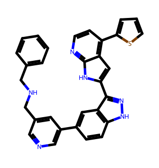 c1ccc(CNCc2cncc(-c3ccc4[nH]nc(-c5cc6c(-c7cccs7)ccnc6[nH]5)c4c3)c2)cc1